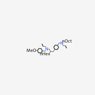 C=CCN(CCCCCCCC)Cc1ccc(CC(CCCCCC)CN(CC=C)Cc2ccc(OC)cc2)cc1